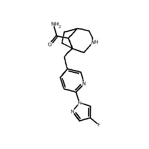 NC(=O)C1C2CCC1(Cc1ccc(-n3cc(F)cn3)nc1)CNC2